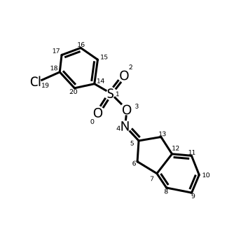 O=S(=O)(ON=C1Cc2ccccc2C1)c1cccc(Cl)c1